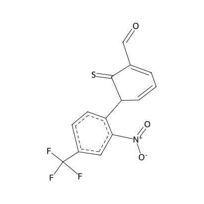 O=CC1=CC=CC(c2ccc(C(F)(F)F)cc2[N+](=O)[O-])C1=S